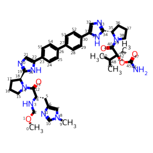 COCN[C@@H](Cc1cn(C)cn1)C(=O)N1CCC[C@H]1c1ncc(-c2ccc(-c3ccc(-c4cnc([C@@H]5CCCN5C(=O)[C@@](C)(OC(N)=O)C(C)C)[nH]4)cc3)cc2)[nH]1